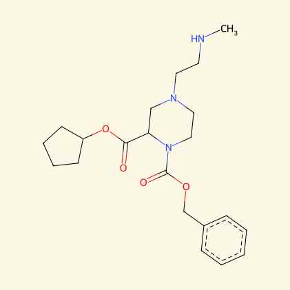 CNCCN1CCN(C(=O)OCc2ccccc2)C(C(=O)OC2CCCC2)C1